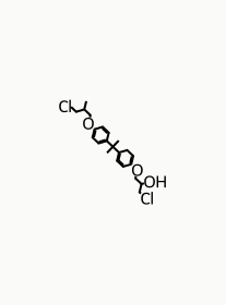 CC(CCl)COc1ccc(C(C)(C)C2=C=CC(OCC(O)CCl)=CC2)cc1